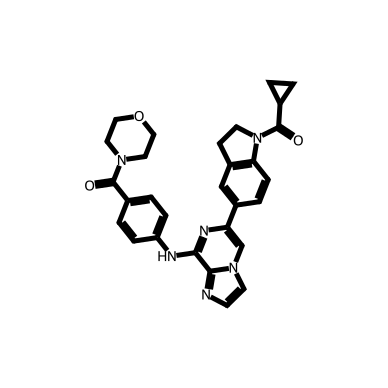 O=C(c1ccc(Nc2nc(-c3ccc4c(c3)CCN4C(=O)C3CC3)cn3ccnc23)cc1)N1CCOCC1